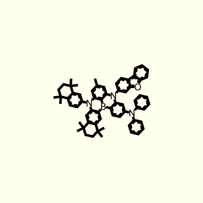 Cc1cc2c3c(c1)N(c1ccc4c(c1)C(C)(C)CCC4(C)C)c1cc4c(cc1B3c1ccc(N(c3ccccc3)c3ccccc3)cc1N2c1ccc2c(c1)oc1ccccc12)C(C)(C)CCC4(C)C